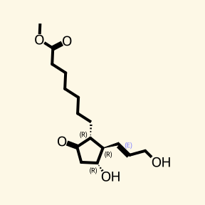 COC(=O)CCCCCC[C@H]1C(=O)C[C@@H](O)[C@@H]1/C=C/CO